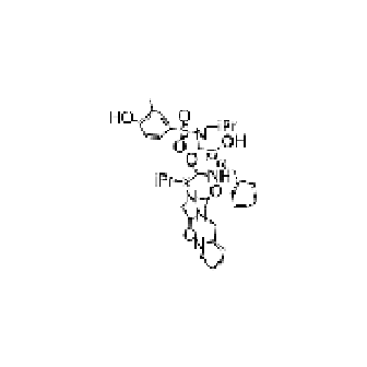 Cc1cc(S(=O)(=O)N(CC(C)C)C[C@H](O)[C@H](Cc2ccccc2)NC(=O)[C@H](C(C)C)N2CC(=O)N(Cc3ccccn3)C2=O)ccc1O